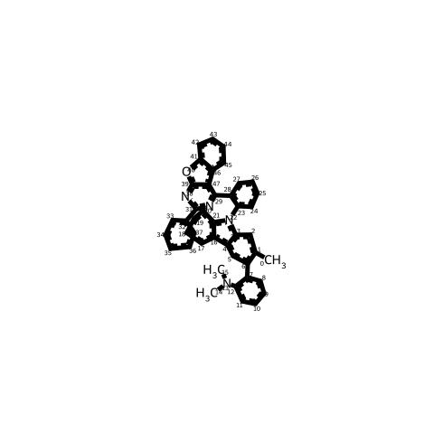 Cc1cc2c(cc1-c1ccccc1N(C)C)c1ccccc1n2-c1ccccc1-c1nc(-c2ccccc2)nc2oc3ccccc3c12